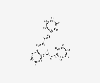 C(/C=C/c1ccccc1OCc1ccccc1)=C\c1ccccc1